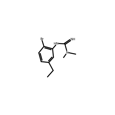 CCc1ccc(Br)c(NC(=N)N(C)C)c1